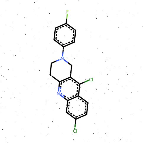 Fc1ccc(N2CCc3nc4cc(Cl)ccc4c(Cl)c3C2)cc1